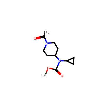 CC(C)(C)OC(=O)N(C1CC1)C1CCN(C(=O)C(F)(F)F)CC1